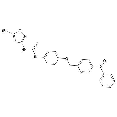 CC(C)(C)c1cc(NC(=O)Nc2ccc(OCc3ccc(C(=O)c4ccccc4)cc3)cc2)no1